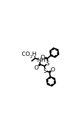 C[C@H](NC(=O)C(SC(=O)c1ccccc1)SC(=O)c1ccccc1)C(=O)O